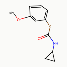 CCCOc1cccc(SC(=O)NC2CC2)c1